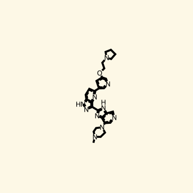 CN1CCN(c2cncc3[nH]c(-c4n[nH]c5ccc(-c6cncc(OCCN7CCCC7)c6)nc45)nc23)CC1